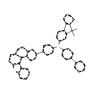 CC1(C)c2ccccc2-c2ccc(N(c3ccc(-c4ccccc4)cc3)c3ccc(-c4ccc5c(ccc6ccc7sc8ccccc8c7c65)c4)cc3)cc21